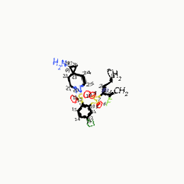 C=C/C=C(\C(=C)F)S(=O)(=O)c1cc(Cl)ccc1S(=O)(=O)N1CCC2(CC1)C[C@H]2N